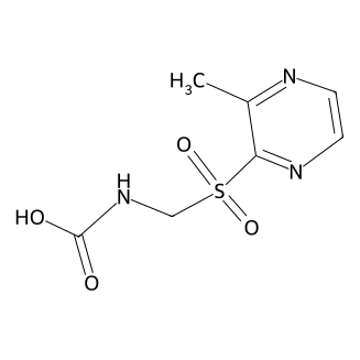 Cc1nccnc1S(=O)(=O)CNC(=O)O